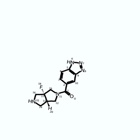 O=C(c1ccc2[nH]nnc2c1)N1C[C@@H]2CNC[C@@]2(F)C1